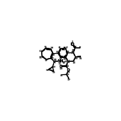 CC(=O)N1c2ncc(C3=C(N(N)C4CC4)CCCC=C3)cc2N(C(=O)OC(C)C)C[C@@H]1C